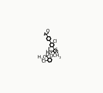 Cc1nsc(-c2cc(Cl)c(-c3ccc(C4(C=O)CC4)cc3)cc2F)c1NC(=O)O[C@H](C)c1ccccc1Cl